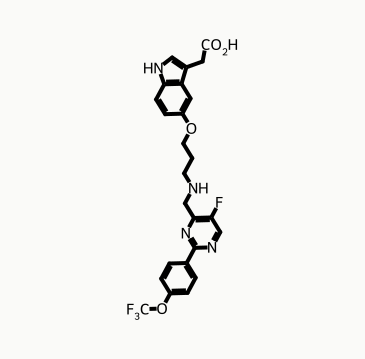 O=C(O)Cc1c[nH]c2ccc(OCCCNCc3nc(-c4ccc(OC(F)(F)F)cc4)ncc3F)cc12